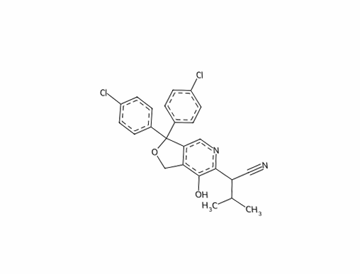 CC(C)C(C#N)c1ncc2c(c1O)COC2(c1ccc(Cl)cc1)c1ccc(Cl)cc1